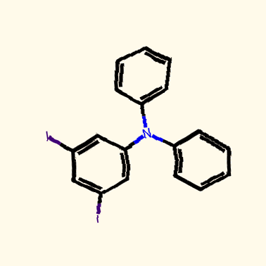 Ic1cc(I)cc(N(c2ccccc2)c2ccccc2)c1